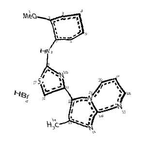 Br.COc1ccccc1Nc1nc(-c2c(C)nc3ncccn23)cs1